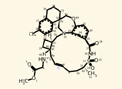 COC(=O)CN[C@H]1/C=C/CC[C@@H](C)S(=O)(=O)NC(=O)c2ccc3c(c2)N(C[C@@H]2CC[C@H]21)C[C@@]1(CCCc2cc(Cl)ccc21)CO3